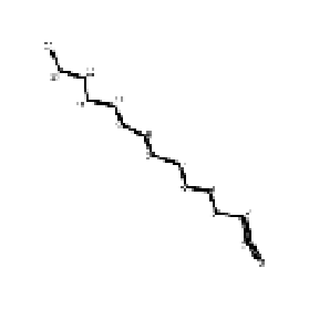 C=C=CCCCCCCCCCCCC